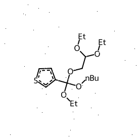 CCCCOC(OCC)(OCC(OCC)OCC)c1ccsc1